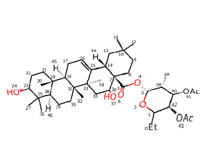 CCC1O[C@H](OC(=O)[C@]23CCC(C)(C)C[C@H]2C2=CC[C@@H]4[C@@]5(C)CC[C@H](O)C(C)(C)[C@@H]5CC[C@@]4(C)[C@]2(C)CC3O)[C@H](C)C(OC(C)=O)[C@H]1OC(C)=O